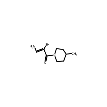 CC1CCN(C(=O)/C(S)=C/N)CC1